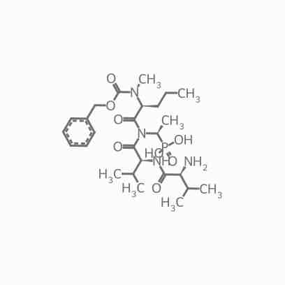 CCC[C@@H](C(=O)N(C(=O)[C@@H](NC(=O)[C@@H](N)C(C)C)C(C)C)[C@@H](C)P(=O)(O)O)N(C)C(=O)OCc1ccccc1